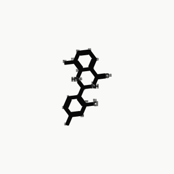 Cc1ccc(C2NC(=O)c3cccc(C)c3N2)c(Cl)c1